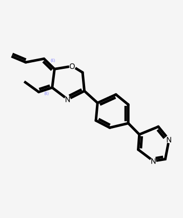 C=C/C=C1/OCC(c2ccc(-c3cncnc3)cc2)=N/C1=C/C